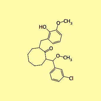 COc1cccc(CC2CCCCCC(C(OC)c3cccc(Cl)c3)C2=O)c1O